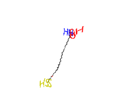 O=C(CCCCCCCCCCCCCCCCCCCCCCCCCCCCCC(=S)S)NO